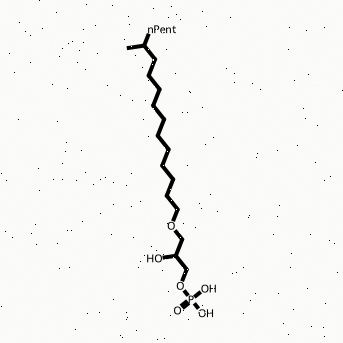 CCCCCC(C)CCCCCCCCCCCOCC(O)COP(=O)(O)O